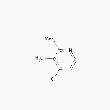 CNc1nccc(Cl)c1C